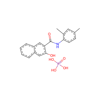 Cc1ccc(NC(=O)c2cc3ccccc3cc2O)c(C)c1.O=P(O)(O)O